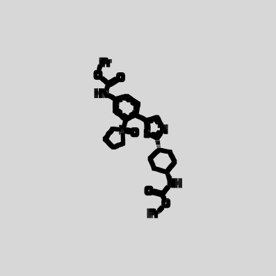 CC(C)OC(=O)Nc1ccc(-c2cnc([C@H]3CC[C@H](NC(=O)OC(C)C)CC3)s2)c(P2(=O)CCCC2)c1